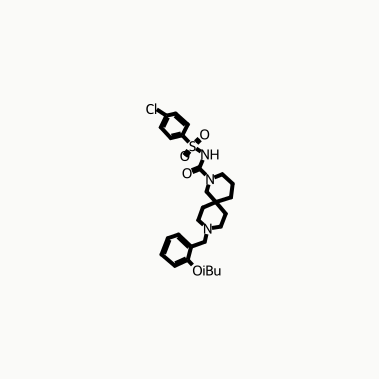 CC(C)COc1ccccc1CN1CCC2(CCCN(C(=O)NS(=O)(=O)c3ccc(Cl)cc3)C2)CC1